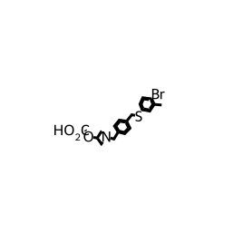 Cc1cc(SCc2ccc(CN3CC(OC(=O)O)C3)cc2)ccc1Br